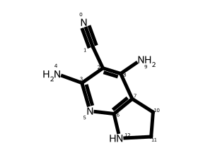 N#Cc1c(N)nc2c(c1N)CCN2